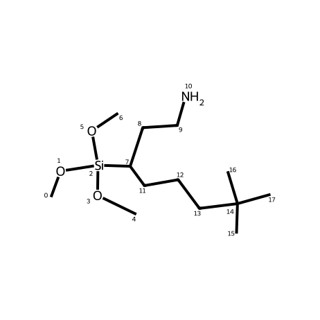 CO[Si](OC)(OC)C(CCN)CCCC(C)(C)C